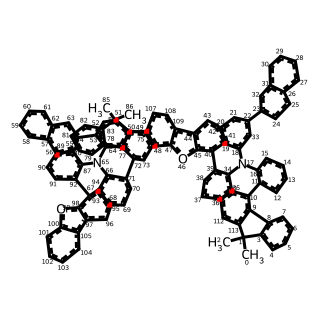 CC1(C)c2ccccc2-c2c(-c3ccccc3N(c3cccc(-c4ccc5ccccc5c4)c3)c3ccccc3-c3cccc4c3oc3cc(-c5ccc(-c6ccc7ccccc7c6)c(N(c6ccccc6-c6cccc7c6-c6ccccc6C7(C)C)c6ccccc6-c6cccc7c6oc6ccccc67)c5)ccc34)cccc21